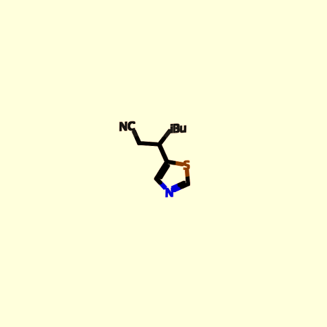 CCC(C)C(CC#N)c1cncs1